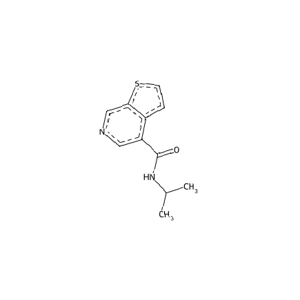 CC(C)NC(=O)c1cncc2sccc12